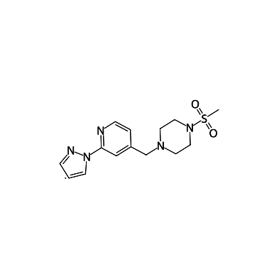 CS(=O)(=O)N1CCN(Cc2ccnc(-n3c[c]cn3)c2)CC1